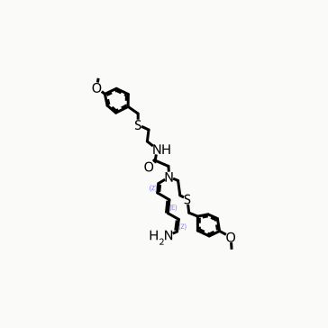 COc1ccc(CSCCNC(=O)CN(\C=C/C=C/C=C\N)CCSCc2ccc(OC)cc2)cc1